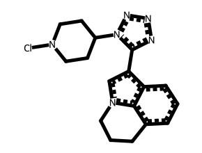 ClN1CCC(n2nnnc2-c2cn3c4c(cccc24)CCC3)CC1